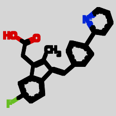 CC1=C(CC(=O)O)c2cc(F)ccc2C1=Cc1ccc(-c2ccccn2)cc1